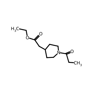 CCOC(=O)CC1CCN(C(=O)CC)CC1